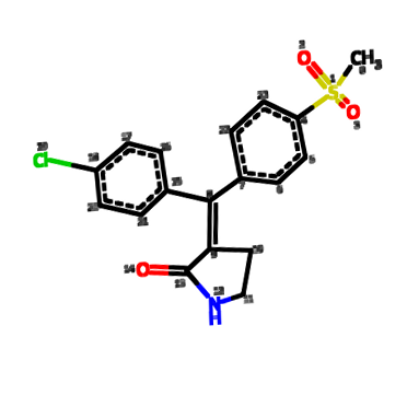 CS(=O)(=O)c1ccc(C(=C2CCNC2=O)c2ccc(Cl)cc2)cc1